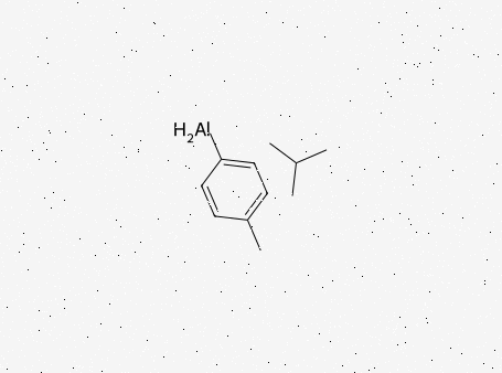 CC(C)C.Cc1cc[c]([AlH2])cc1